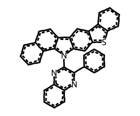 c1ccc(-c2nc3ccccc3nc2-n2c3cc4sc5ccccc5c4cc3c3ccc4ccccc4c32)cc1